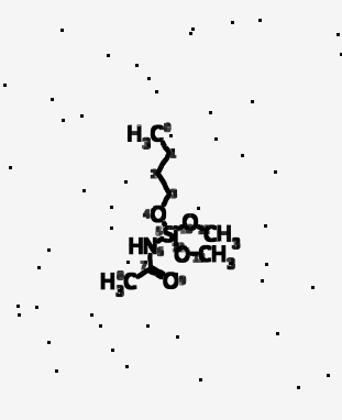 CCCCO[Si](NC(C)=O)(OC)OC